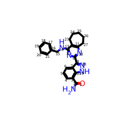 NC(=O)c1cccc2c(-c3nc4c(c(NCc5ccccc5)n3)CCCCC4)n[nH]c12